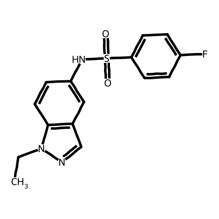 CCn1ncc2cc(NS(=O)(=O)c3ccc(F)cc3)ccc21